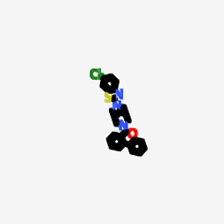 O=C(c1ccccc1-c1ccccc1)N1CC2CC(C1)CN(c1nc3ccc(Cl)cc3s1)C2